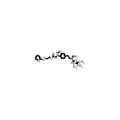 CC(C)(C)OC(=O)N(N)CCc1ccc2c(c1)nnn2OC(=O)OCCSSc1ccccn1